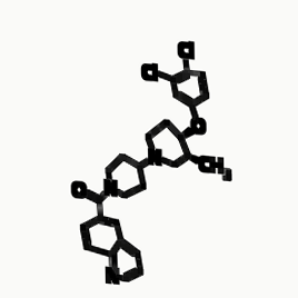 C[C@H]1CN(C2CCN(C(=O)c3ccc4ncccc4c3)CC2)CC[C@H]1Oc1ccc(Cl)c(Cl)c1